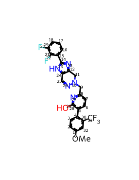 COc1ccc(-c2ccc(CN3Cc4nc(-c5cccc(F)c5F)[nH]c4C=N3)nc2O)c(C(F)(F)F)c1